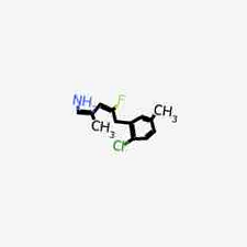 CC(=C/N)/C=C(/F)Cc1cc(C)ccc1Cl